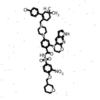 CC1(C)CCC(CN2CCN(c3ccc(C(=O)NS(=O)(=O)c4ccc(OCC5CCCOC5)c([N+](=O)[O-])c4)c(N4CCOc5nc6[nH]ccc6cc54)c3)CC2)=C(c2ccc(Cl)cc2)C1